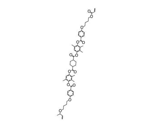 C=CC(=O)OCCCCOc1ccc(C(=O)Oc2c(C)cc(OC(=O)C3CCC(C(=O)Oc4cc(C)c(OC(=O)c5ccc(OCCCCOC(C)C=C)cc5)c(C)c4C)CC3)c(C)c2C)cc1